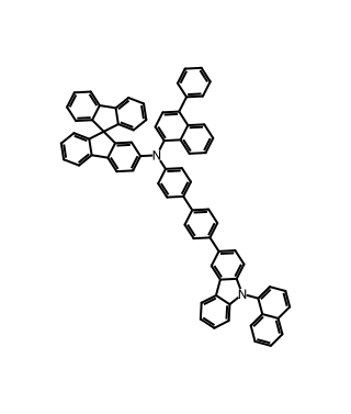 c1ccc(-c2ccc(N(c3ccc(-c4ccc(-c5ccc6c(c5)c5ccccc5n6-c5cccc6ccccc56)cc4)cc3)c3ccc4c(c3)C3(c5ccccc5-c5ccccc53)c3ccccc3-4)c3ccccc23)cc1